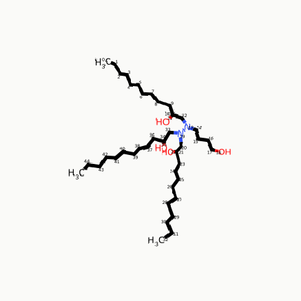 CCCCCCCCCCC(O)CN(CCCCO)N(CC(O)CCCCCCCCCC)CC(O)CCCCCCCCCC